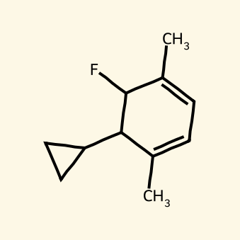 CC1=CC=C(C)C(C2CC2)C1F